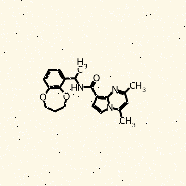 Cc1cc(C)n2ccc(C(=O)NC(C)c3cccc4c3OCCCO4)c2n1